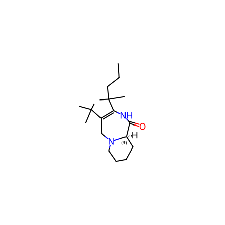 CCCC(C)(C)C1=C(C(C)(C)C)CN2CCCC[C@@H]2C(=O)N1